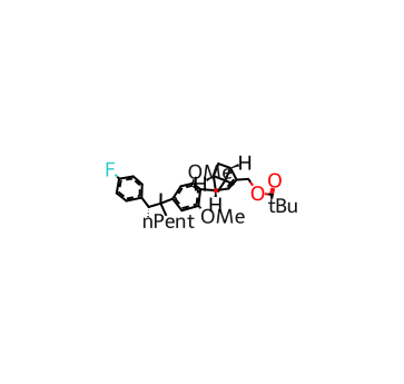 CCCCC[C@H](c1ccc(F)cc1)C(C)(C)c1cc(OC)c([C@H]2C=C(COC(=O)C(C)(C)C)[C@H]3C[C@@H]2C3(C)C)c(OC)c1